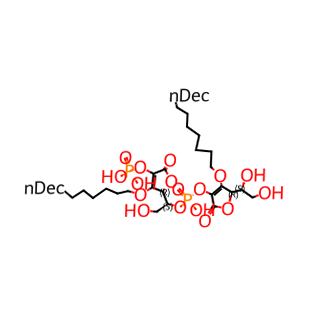 CCCCCCCCCCCCCCCCCOC1=C(OP(=O)(O)O[C@@H](CO)[C@H]2OC(=O)C(OP(=O)(O)O)=C2OCCCCCCCCCCCCCCCC)C(=O)O[C@@H]1[C@@H](O)CO